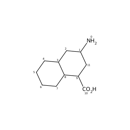 NC1CC2CCCCC2C(C(=O)O)C1